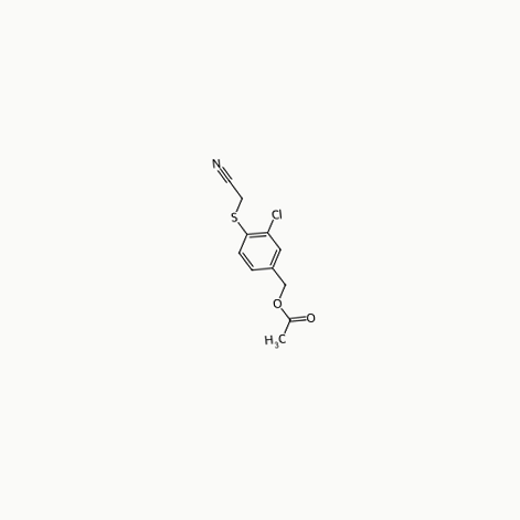 CC(=O)OCc1ccc(SCC#N)c(Cl)c1